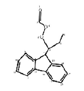 CCC(OO[C]=O)C1c2ccccc2-c2ccccc21